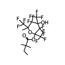 CCC(C)(C)C(=O)OC1(C(F)(F)F)OC(C)(C(F)(F)F)C(F)(F)C(O)(C(F)(F)F)C1(F)F